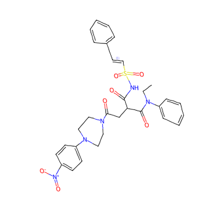 CCN(C(=O)C(CC(=O)N1CCN(c2ccc([N+](=O)[O-])cc2)CC1)C(=O)NS(=O)(=O)/C=C/c1ccccc1)c1ccccc1